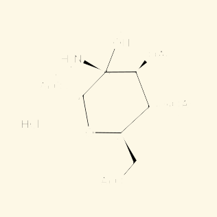 CC(=O)OC[C@H]1O[C@H](OC(C)=O)[C@](N)(O)[C@@H](OC(C)=O)[C@@H]1OC(C)=O.Cl